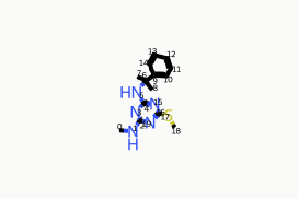 CNc1nc(NC(C)(C)c2ccccc2)nc(SC)n1